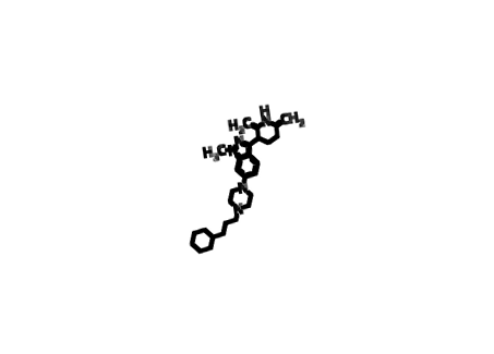 C=C1CCC(c2nn(C)c3cc(N4CCN(CCCC5CCCCC5)CC4)ccc23)C(=C)N1